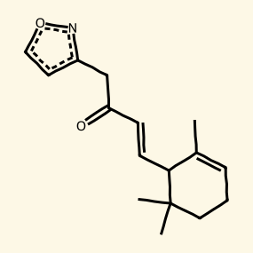 CC1=CCCC(C)(C)C1/C=C/C(=O)Cc1ccon1